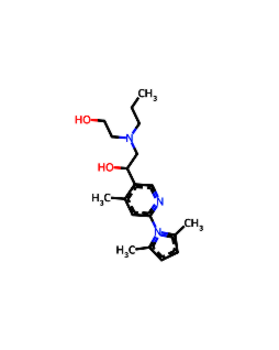 CCCN(CCO)CC(O)c1cnc(-n2c(C)ccc2C)cc1C